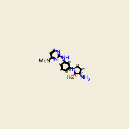 CNc1ccnc(Nc2cccc(N3CCC(N)C3O)c2)n1